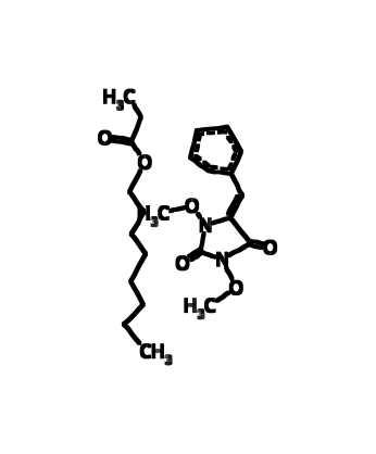 CCCCCCCCOC(=O)CC.CON1C(=O)C(=Cc2ccccc2)N(OC)C1=O